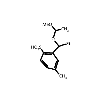 CCC(OC(C)OC)c1cc(C)ccc1S(=O)(=O)O